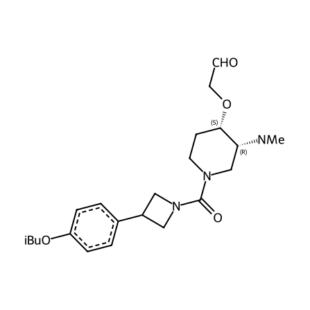 CN[C@@H]1CN(C(=O)N2CC(c3ccc(OCC(C)C)cc3)C2)CC[C@@H]1OCC=O